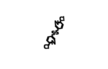 Clc1ccc(SSc2ccc(Cl)nc2)cn1